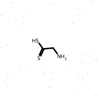 NCC(=S)S